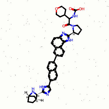 O=C(O)NC(C(=O)N1CCC[C@H]1c1nc2ccc3cc(-c4ccc5cc(-c6cnc([C@H]7N[C@@H]8CC[C@H]7C8)[nH]6)ccc5c4)ccc3c2[nH]1)C1CCOCC1